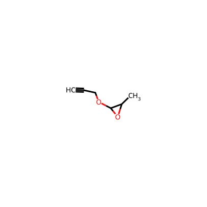 C#CCOC1OC1C